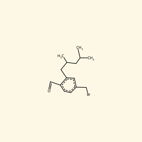 CC(C)CC(C)Cc1cc(CBr)ccc1C=O